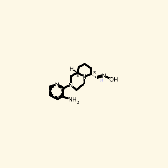 Nc1cccnc1N1CCN2[C@@H](CCC[C@@H]2/C=N/O)C1